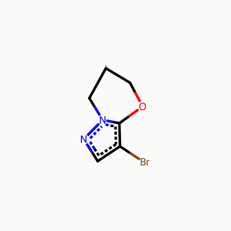 Brc1cnn2c1OC[CH]C2